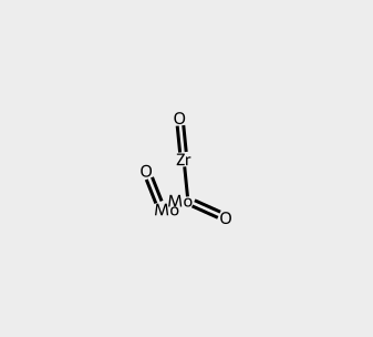 [O]=[Mo].[O]=[Zr][Mo]=[O]